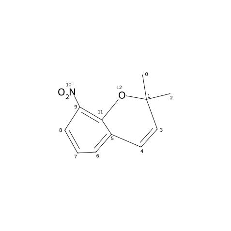 CC1(C)C=Cc2cccc([N+](=O)[O-])c2O1